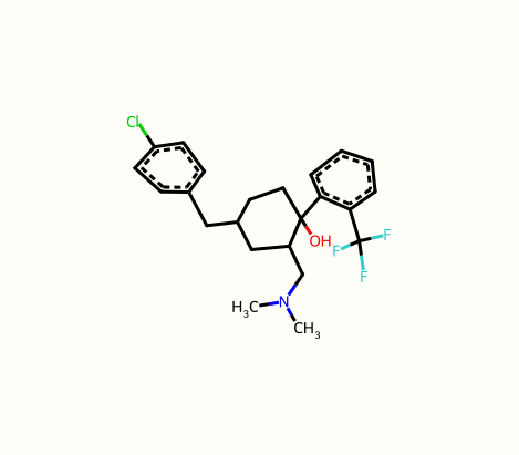 CN(C)CC1CC(Cc2ccc(Cl)cc2)CCC1(O)c1ccccc1C(F)(F)F